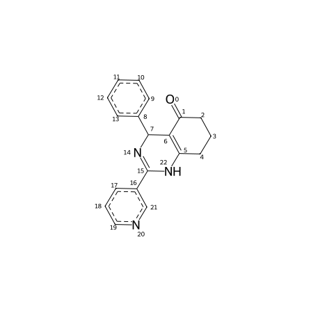 O=C1CCCC2=C1C(c1ccccc1)N=C(c1cccnc1)N2